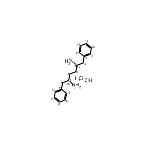 Cl.Cl.N[C@H](CC[C@@H](N)Cc1ccccc1)Cc1ccccc1